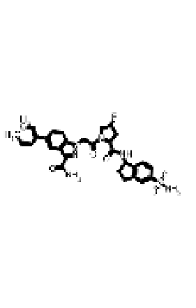 C/C=C\C(=C/C)c1ccc2c(c1)c(C(N)=O)nn2CC(=O)N1CC(F)CC1C(=O)NC1CCc2cc(S(N)(=O)=O)ccc21